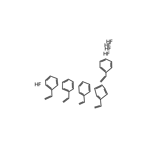 C=Cc1ccccc1.C=Cc1ccccc1.C=Cc1ccccc1.C=Cc1ccccc1.C=Cc1ccccc1.F.F.F.F.F